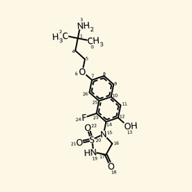 CC(C)(N)CCOc1ccc2cc(O)c(N3CC(=O)NS3(=O)=O)c(F)c2c1